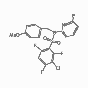 COc1ccc(CN(c2cccc(F)n2)S(=O)(=O)c2c(F)cc(F)c(Cl)c2F)cc1